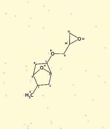 CC1CC2OC1CC2OCC1CO1